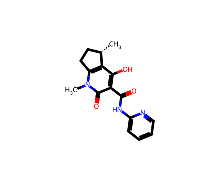 C[C@H]1CCc2c1c(O)c(C(=O)Nc1ccccn1)c(=O)n2C